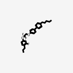 CCCCCc1ccc(-c2ccc(OCC(F)(F)Oc3ccc(CCC)c(F)c3)cc2)cc1